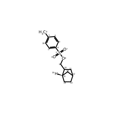 Cc1ccc(S(=O)(=O)OCC2CC3CC[C@H]2C3)cc1